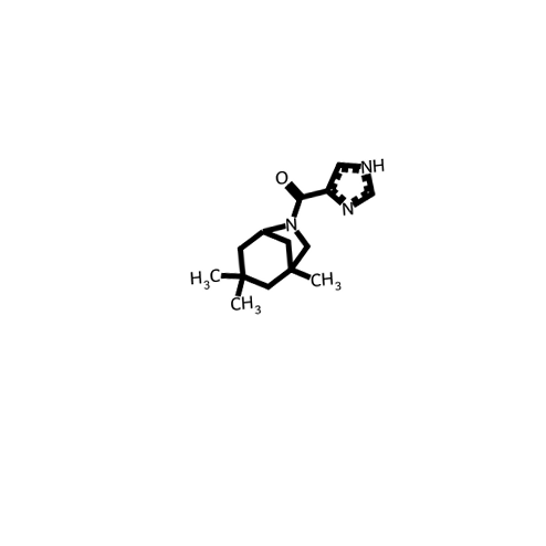 CC1(C)CC2CC(C)(CN2C(=O)c2c[nH]cn2)C1